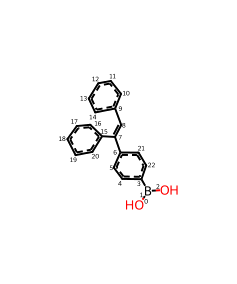 OB(O)c1ccc(C(=Cc2ccccc2)c2ccccc2)cc1